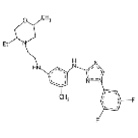 CCC1COC(C)CN1CCNc1cc(C)cc(Nc2ncn(-c3cc(F)cc(F)c3)n2)c1